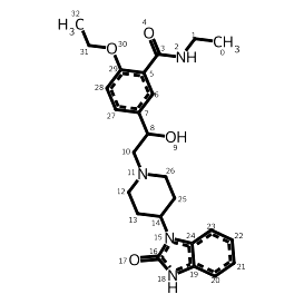 CCNC(=O)c1cc(C(O)CN2CCC(n3c(=O)[nH]c4ccccc43)CC2)ccc1OCC